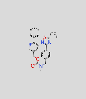 CN(Cc1ccc(-c2noc(C(F)(F)F)n2)cc1)C(=O)OCc1ccc(-c2ccccc2)nc1